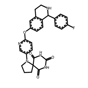 O=C1NC(=O)C2(CCCN2c2ccc(Oc3ccc4c(c3)CCNC4c3ccc(F)cc3)nc2)C(=O)N1